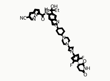 CCC(O)(CC)c1cc2nn(C3CCC(N4CCN(C5CN(c6cc(F)c([C@H]7CCC(=O)NC7=O)c(F)c6)C5)CC4)CC3)cc2cc1NC(=O)c1ccc2cc(C#N)cnn12